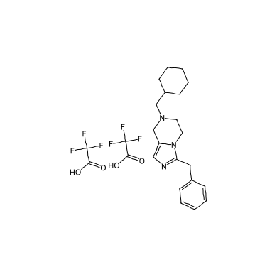 O=C(O)C(F)(F)F.O=C(O)C(F)(F)F.c1ccc(Cc2ncc3n2CCN(CC2CCCCC2)C3)cc1